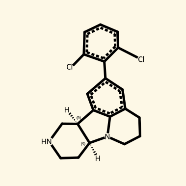 Clc1cccc(Cl)c1-c1cc2c3c(c1)[C@@H]1CNCC[C@@H]1N3CCC2